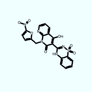 O=c1c(C2=NS(=O)(=O)c3ccccc3N2)c(O)c2cccnc2n1Cc1ccc([N+](=O)[O-])o1